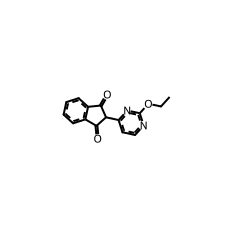 CCOc1nccc(C2C(=O)c3ccccc3C2=O)n1